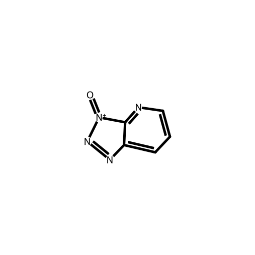 O=[N+]1N=Nc2cccnc21